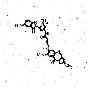 C=C1C[C@H]2C=Nc3cc(OCCCC(=O)Nc4cc(-c5nc6ccc(N)cc6[nH]5)n(C)c4)c(OC)cc3C(=O)N2C1